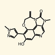 C=C1COc2c(-c3cnn(C)c3)c(O)cc3ncc4c(c23)n1c(=O)n4C